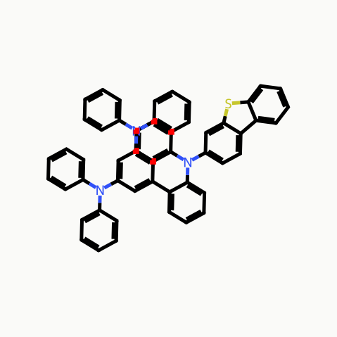 c1ccc(N(c2ccccc2)c2cc(-c3ccccc3N(c3ccccc3)c3ccc4c(c3)sc3ccccc34)cc(N(c3ccccc3)c3ccccc3)c2)cc1